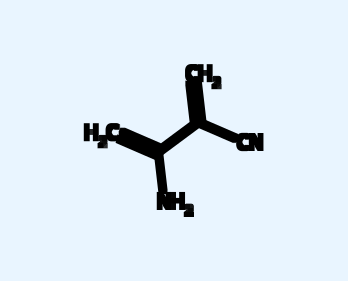 C=C(N)C(=C)C#N